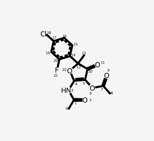 CC(=O)NC1=C(OC(C)=O)C(=O)C(C)(c2ccc(Cl)cc2F)O1